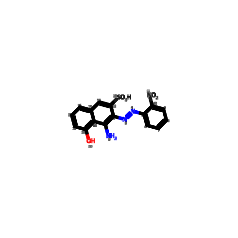 Nc1c(N=Nc2ccccc2[N+](=O)[O-])c(S(=O)(=O)O)cc2cccc(O)c12